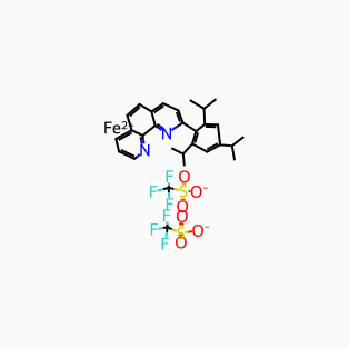 CC(C)c1cc(C(C)C)c(-c2ccc3ccc4cccnc4c3n2)c(C(C)C)c1.O=S(=O)([O-])C(F)(F)F.O=S(=O)([O-])C(F)(F)F.[Fe+2]